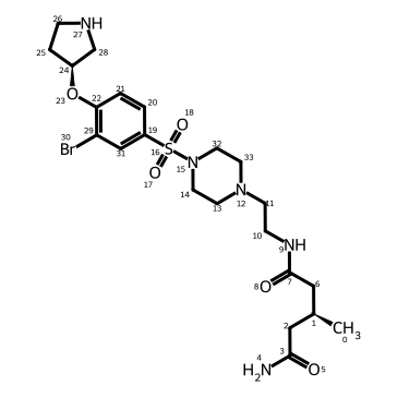 C[C@@H](CC(N)=O)CC(=O)NCCN1CCN(S(=O)(=O)c2ccc(O[C@H]3CCNC3)c(Br)c2)CC1